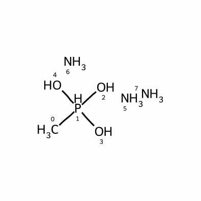 C[PH](O)(O)O.N.N.N